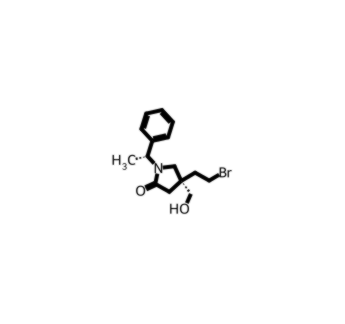 C[C@H](c1ccccc1)N1C[C@@](CO)(CCBr)CC1=O